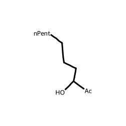 CCCCCCCCC(O)C(C)=O